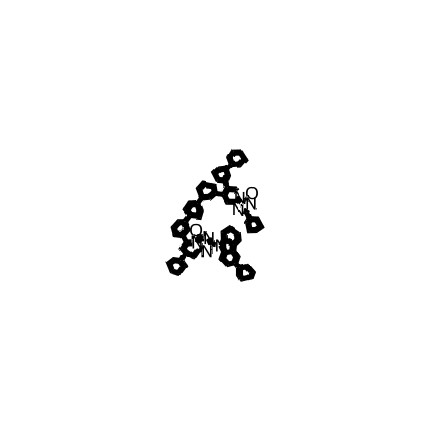 O=c1nc(-c2ccccc2)nc2cc(-c3cccc(-c4ccc(-c5cccc(-c6cc(-c7ccccc7)cc7nc(-n8c9ccccc9c9cc(-c%10ccccc%10)ccc98)nc(=O)n67)c5)cc4)c3)c(-c3cccc(-c4ccccc4)c3)cn12